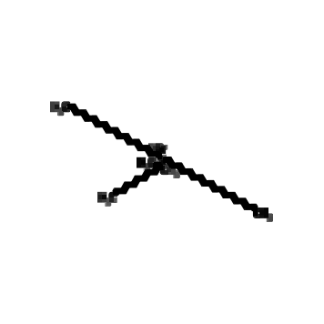 Br.CCCCCCCCCCCCCCCCCCN(CCCCCCCCCCCCCCCCCC)C(C)(C)CCCCCCCCC